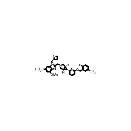 COc1cc(C(=O)O)cc2c1nc(CN1C[C@@H]3[C@H](C1)[C@H]3c1cccc(OCc3cc(C)ccc3F)n1)n2C[C@@H]1CCO1